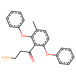 Cc1ccc(Oc2ccccc2)c(C(=O)CCP)c1Oc1ccccc1